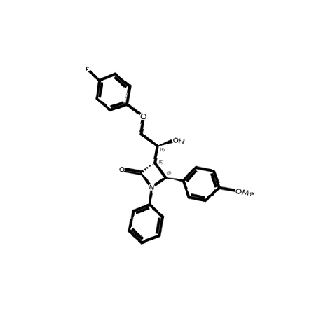 COc1ccc([C@@H]2[C@@H]([C@H](O)COc3ccc(F)cc3)C(=O)N2c2ccccc2)cc1